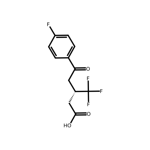 O=C(O)C[C@H](CC(=O)c1ccc(F)cc1)C(F)(F)F